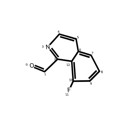 O=Cc1nccc2cccc(F)c12